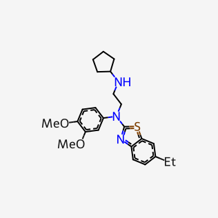 CCc1ccc2nc(N(CCNC3CCCC3)c3ccc(OC)c(OC)c3)sc2c1